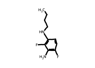 CCCCNc1ccc(F)c(N)c1F